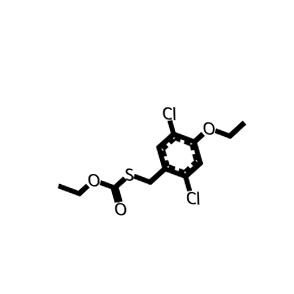 CCOC(=O)SCc1cc(Cl)c(OCC)cc1Cl